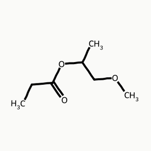 CCC(=O)OC(C)COC